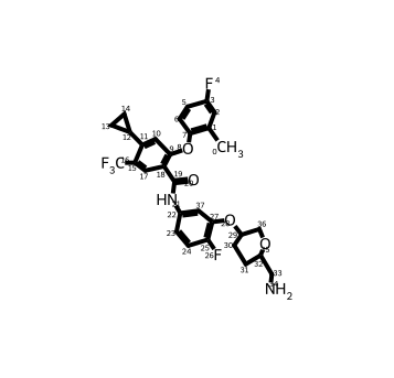 Cc1cc(F)ccc1Oc1cc(C2CC2)c(C(F)(F)F)cc1C(=O)Nc1ccc(F)c(OC2CCC(CN)OC2)c1